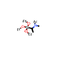 CCO[Si](OCC)(OCC)C(C)N(C)C(C)=O